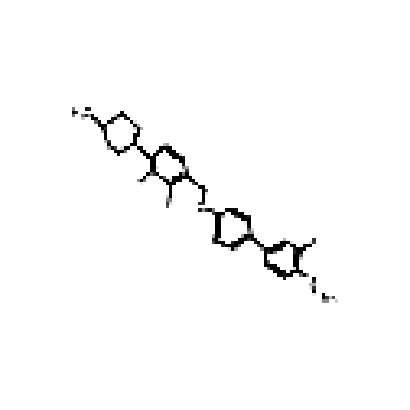 CCCCCCOc1ccc(-c2ccc(OCc3ccc(C4CCC(C)CC4)c(F)c3F)cc2)cc1F